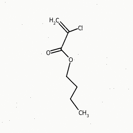 C=C(Cl)C(=O)OCCCC